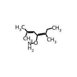 CC/C(C)=C(\C=C(C)C)ON